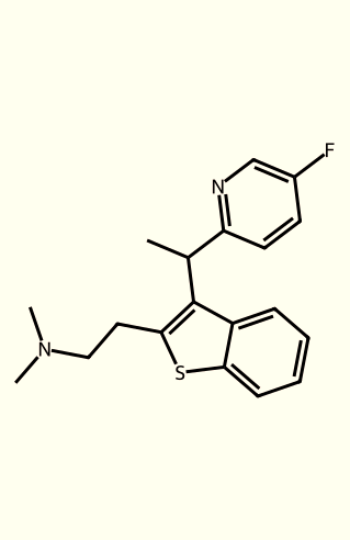 CC(c1ccc(F)cn1)c1c(CCN(C)C)sc2ccccc12